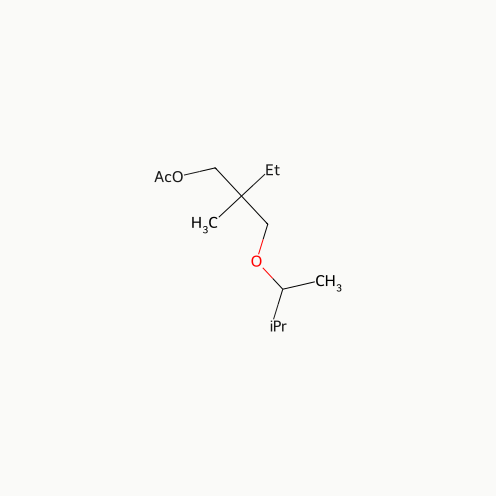 CCC(C)(COC(C)=O)COC(C)C(C)C